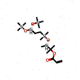 C=CC(=O)OC(C)(C)[SiH](C)O[Si](C)(C)CC[SiH](O[Si](C)(C)C)O[Si](C)(C)C